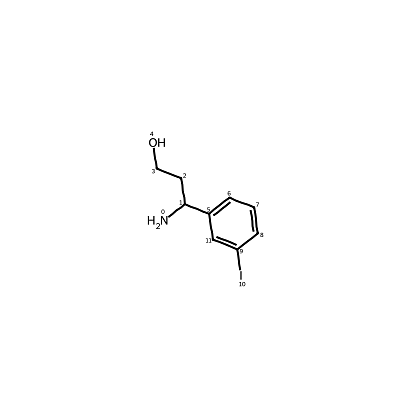 NC(CCO)c1cccc(I)c1